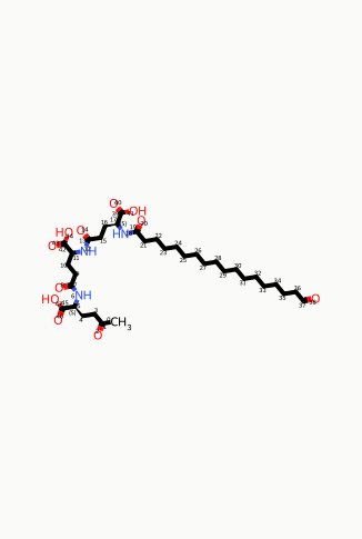 CC(=O)CC[C@H](NC(=O)CCC(NC(=O)CC[C@H](NC(=O)CCCCCCCCCCCCCCCCC=O)C(=O)O)C(=O)O)C(=O)O